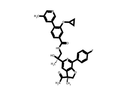 Cc1cncc(-c2ccc(C(=O)NC[C@](C)(O)c3cc4c(c(-c5ccc(F)cc5)n3)OC[C@]4(C)C(N)=O)cc2OC2CC2)c1